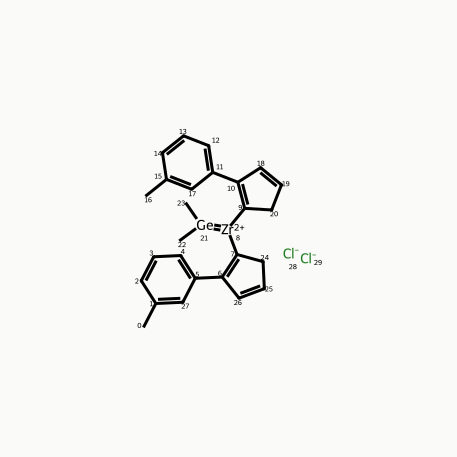 Cc1cccc(C2=[C]([Zr+2]([C]3=C(c4cccc(C)c4)C=CC3)=[Ge]([CH3])[CH3])CC=C2)c1.[Cl-].[Cl-]